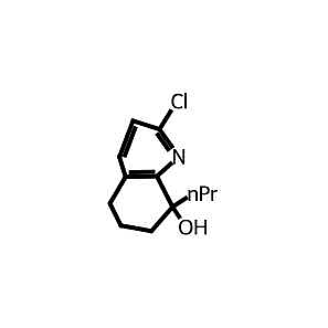 CCCC1(O)CCCc2ccc(Cl)nc21